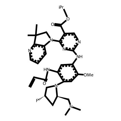 C=CC(=O)Nc1cc(Nc2ncc(C(=O)OC(C)C)c(N3CC(C)(C)c4ncccc43)n2)c(OC)cc1N1C[C@@H](F)C[C@@H]1CN(C)C